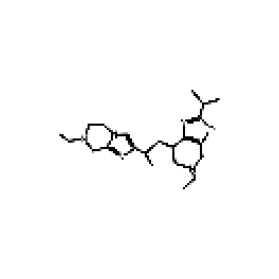 CCN1CCn2cc(C(C)CC3CN(CC)Cc4oc(C(C)C)nc43)nc2C1